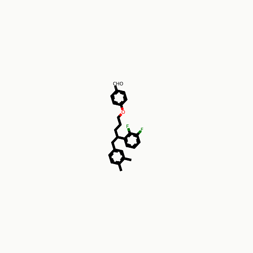 Cc1ccc(CC(CCCOc2ccc(C=O)cc2)c2cccc(F)c2F)cc1C